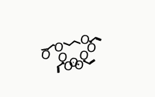 C=CC(=O)OCCCCOCC1CO1.C=CC(=O)OOOC(=O)C=C